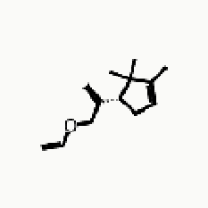 C=COCC(=C)[C@H]1CC=C(C)C1(C)C